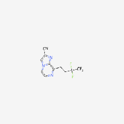 N#Cc1cn2ccnc(CCC(F)(F)C(F)(F)F)c2n1